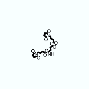 N=C(CCC(=O)OC(=O)CCCN1C(=O)C=CC1=O)OC(=O)CCCN1C(=O)C=CC1=O